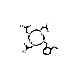 COc1ccccc1CN1CCN(CC(=O)O)CCN(CC(=O)O)CCN(CC(=O)O)CC1